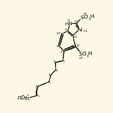 CCCCCCCCCCCCCCCCCc1ccc2[nH]c(S(=O)(=O)O)nc2c1S(=O)(=O)O